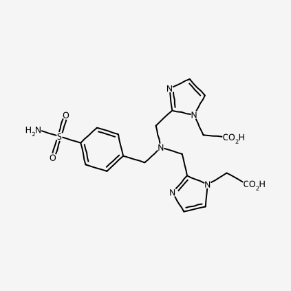 NS(=O)(=O)c1ccc(CN(Cc2nccn2CC(=O)O)Cc2nccn2CC(=O)O)cc1